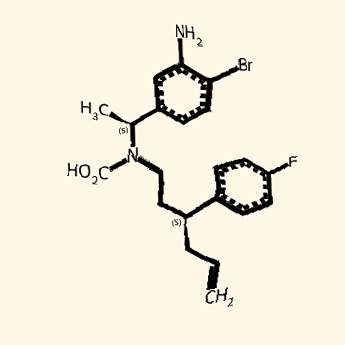 C=CC[C@@H](CCN(C(=O)O)[C@@H](C)c1ccc(Br)c(N)c1)c1ccc(F)cc1